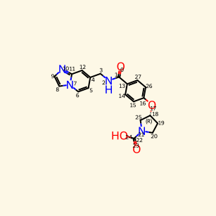 O=C(NCc1ccn2ccnc2c1)c1ccc(O[C@@H]2CCN(C(=O)O)C2)cc1